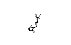 COC(=O)CCCC1SC=CC1=O